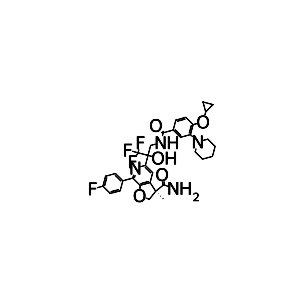 C[C@]1(C(N)=O)COc2c1cc(C(O)(CNC(=O)c1ccc(OC3CC3)c(N3CCCCC3)c1)C(F)(F)F)nc2-c1ccc(F)cc1